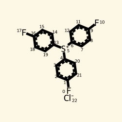 Fc1ccc([S+](c2ccc(F)cc2)c2ccc(F)cc2)cc1.[Cl-]